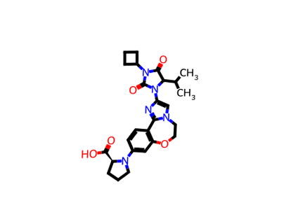 CC(C)C1C(=O)N(C2CCC2)C(=O)N1c1cn2c(n1)-c1ccc(N3CCC[C@H]3C(=O)O)cc1OCC2